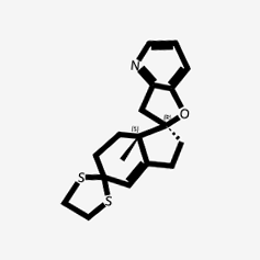 C[C@]12CCC3(C=C1CC[C@@]21Cc2ncccc2O1)SCCS3